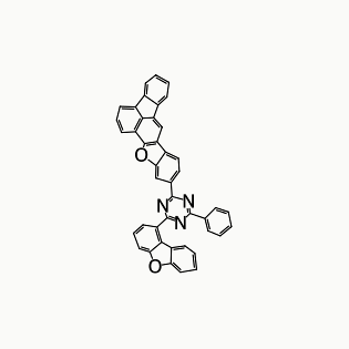 c1ccc(-c2nc(-c3ccc4c(c3)oc3c5cccc6c5c(cc43)-c3ccccc3-6)nc(-c3cccc4oc5ccccc5c34)n2)cc1